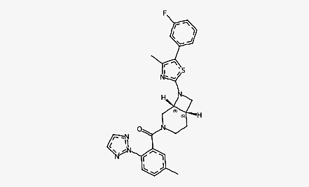 Cc1ccc(-n2nccn2)c(C(=O)N2CC[C@H]3CN(c4nc(C)c(-c5cccc(F)c5)s4)[C@H]3C2)c1